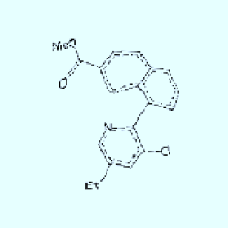 CCc1cnc(-c2cccc3ccc(C(=O)OC)cc23)c(Cl)c1